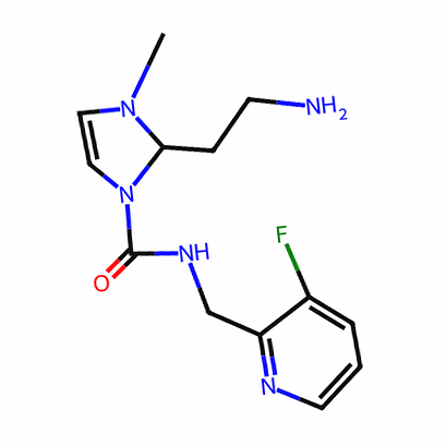 CN1C=CN(C(=O)NCc2ncccc2F)C1CCN